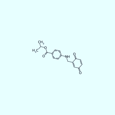 CC(C)OC(=O)c1ccc(NCC2=CC(=O)C=CC2=O)cc1